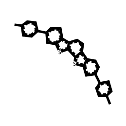 Cc1ccc(-c2ccc3c(c2)sc2c3ccc3c4ccc(-c5ccc(C)cc5)cc4sc32)cc1